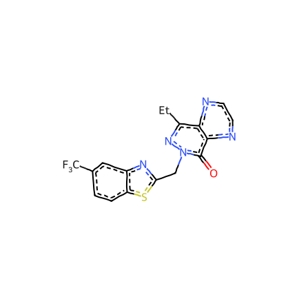 CCc1nn(Cc2nc3cc(C(F)(F)F)ccc3s2)c(=O)c2nccnc12